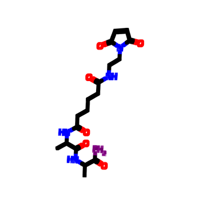 CC(NC(=O)C(C)NC(=O)CCCCC(=O)NCCN1C(=O)C=CC1=O)C(=O)P